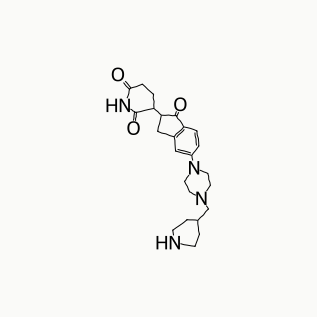 O=C1CCC(C2Cc3cc(N4CCN(CC5CCNCC5)CC4)ccc3C2=O)C(=O)N1